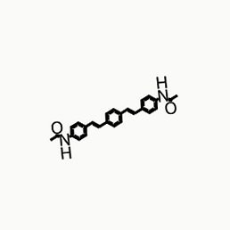 CC(=O)Nc1ccc(C=Cc2ccc(C=Cc3ccc(NC(C)=O)cc3)cc2)cc1